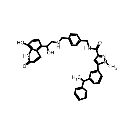 CC(c1ccccc1)c1cccc(-c2cc(C(=O)NCc3ccc(CNCC(O)c4ccc(O)c5[nH]c(=O)ccc45)cc3)nn2C)c1